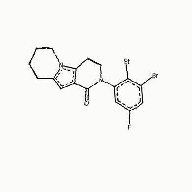 CCc1c(Br)cc(F)cc1N1CCc2c(cc3n2CCCC3)C1=O